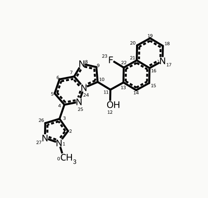 Cn1cc(-c2ccc3ncc(C(O)c4ccc5ncccc5c4F)n3n2)cn1